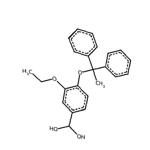 CCOc1cc(C(O)O)ccc1OC(C)(c1ccccc1)c1ccccc1